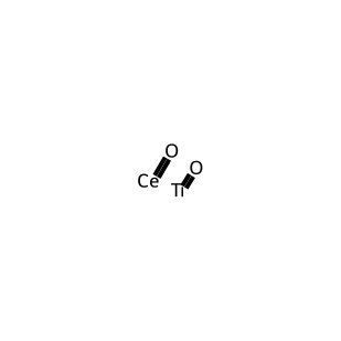 [O]=[Ce].[O]=[Ti]